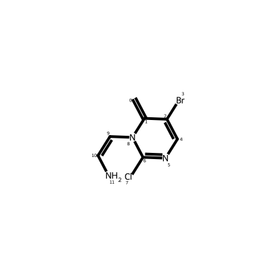 C=C1C(Br)=CN=C(Cl)N1/C=C\N